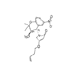 C=CCCOC1=CC(=O)N([C@H]2c3cc([N+](=O)[O-])ccc3OC(C)(C)[C@@H]2O)C1